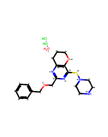 Cl.Cl.O.c1ccc(COCc2nc3c(c(SN4CCNCC4)n2)OCCC3)cc1